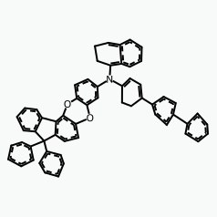 C1=C(c2ccc(-c3ccccc3)cc2)CCC(N(C2=c3ccccc3=CCC2)c2ccc3c(c2)Oc2ccc4c(c2O3)-c2ccccc2C4(c2ccccc2)c2ccccc2)=C1